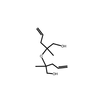 C=CCC(C)(CO)OC(C)(CO)CC=C